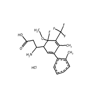 COC1(F)C(C(F)(F)F)=C(C)C(c2ccccc2C)=CC1C(N)CC(=O)O.Cl